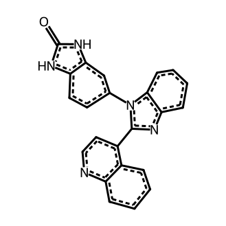 O=c1[nH]c2ccc(-n3c(-c4ccnc5ccccc45)nc4ccccc43)cc2[nH]1